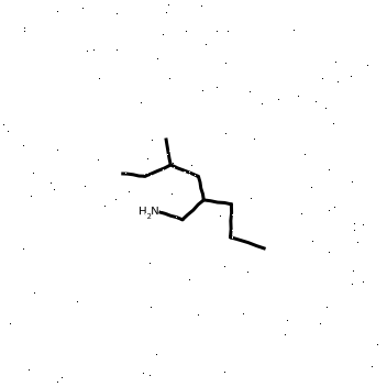 CCCC(CN)CC(C)CC